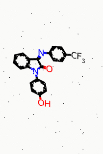 O=C1C(=Nc2ccc(C(F)(F)F)cc2)c2ccccc2N1c1ccc(O)cc1